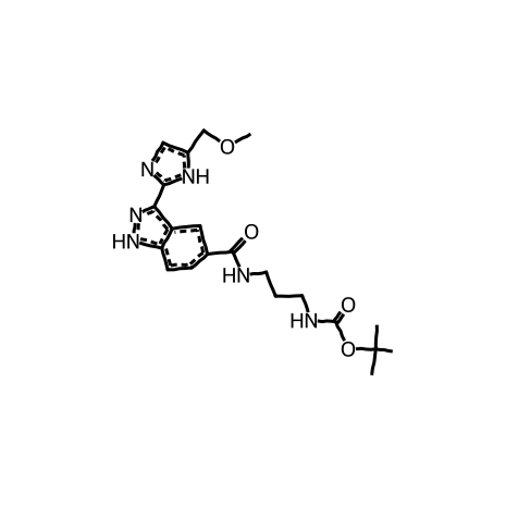 COCc1cnc(-c2n[nH]c3ccc(C(=O)NCCCNC(=O)OC(C)(C)C)cc23)[nH]1